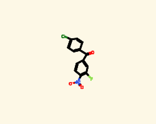 O=C(c1ccc(Cl)cc1)c1ccc([N+](=O)[O-])c(F)c1